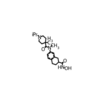 CC(C)N1CCC(C)(C(=O)N(C)c2ccc3c(c2)CC(C(=O)NO)CC3)CC1